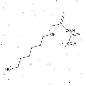 C=C(C)C(=O)O.C=CC(=O)O.OCCCCCCO